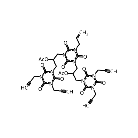 C#CCn1c(=O)n(CC#C)c(=O)n(CC(Cn2c(=O)n(CC=C)c(=O)n(CC(Cn3c(=O)n(CC#C)c(=O)n(CC#C)c3=O)OC(C)=O)c2=O)OC(C)=O)c1=O